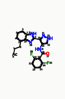 CC(=O)CCc1cccc2[nH]c(-c3n[nH]cc3NC(=O)c3c(F)cccc3F)nc12